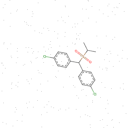 CC(C)S(=O)(=O)C(c1ccc(Cl)cc1)c1ccc(Cl)cc1